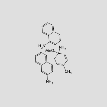 COC1(N)C=CC(C)=CC1.Nc1ccc2ccccc2c1.Nc1cccc2ccccc12